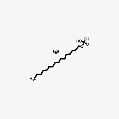 CCCCCCCCCCCCCCCCOP(=O)(O)O.Cl.Cl